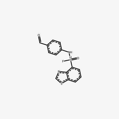 O=Cc1ccc(N[SH](=O)(F)c2cccc3scnc23)cc1